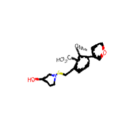 COc1c(-c2ccoc2)ccc(CSN2CCC(O)C2)c1C(=O)O